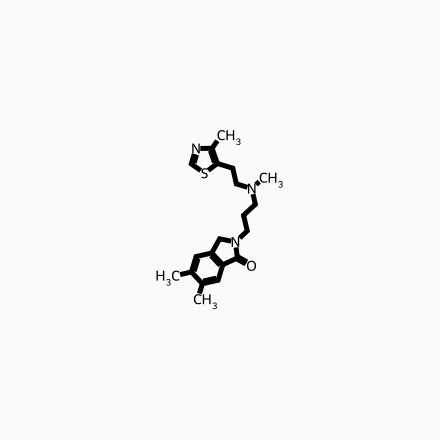 Cc1cc2c(cc1C)C(=O)N(CCCN(C)CCc1scnc1C)C2